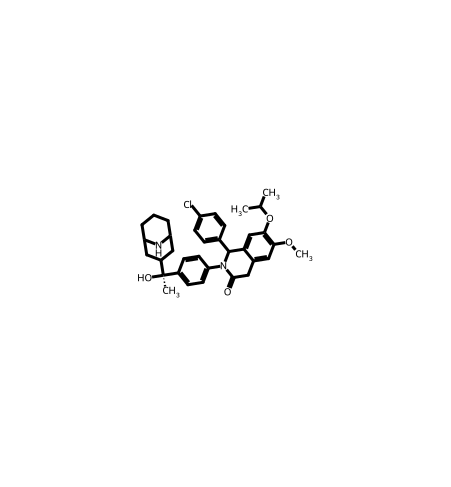 COc1cc2c(cc1OC(C)C)C(c1ccc(Cl)cc1)N(c1ccc([C@@](C)(O)C3CC4CCCC(C3)N4)cc1)C(=O)C2